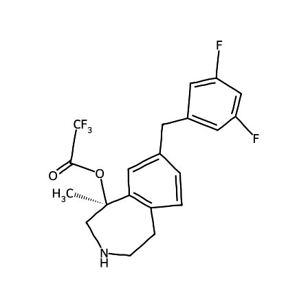 C[C@@]1(OC(=O)C(F)(F)F)CNCCc2ccc(Cc3cc(F)cc(F)c3)cc21